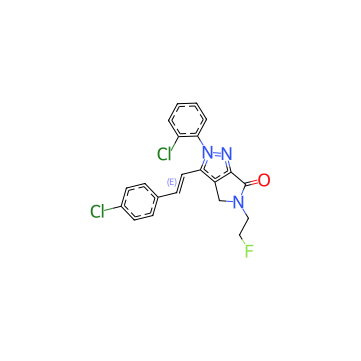 O=C1c2nn(-c3ccccc3Cl)c(/C=C/c3ccc(Cl)cc3)c2CN1CCF